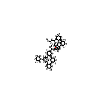 C\C=C/C=C1\C(=C2/C=CC(c3ccc(-c4nc(-c5ccccc5)nc(-c5ccccc5-c5ccccc5)n4)cc3)=CC2C)C2(c3ccccc31)c1ccccc1-c1ccccc12